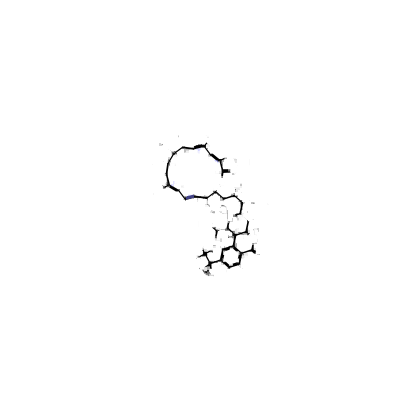 CO/C1=C\C(C)=C\[C@@H](C)[C@@H](O)[C@@H](C)C/C(C)=C/C=C/[C@H](OC)[C@@H]([C@@H](C)[C@@H](O)[C@H](C)[C@H]2C[C@H]3OC(=O)c4ccc(C5(C(F)(F)F)N=N5)cc4[C@@H]3[C@@H](C(C)C)O2)OC1=O